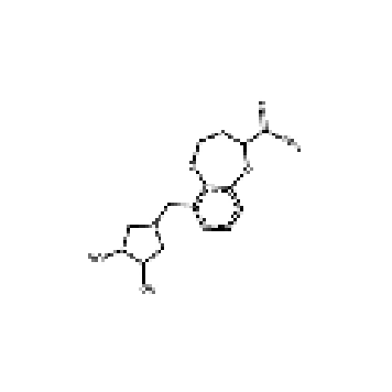 NC(=O)C1CCOc2c(CN3CC(O)C(O)C3)c[c]cc2O1